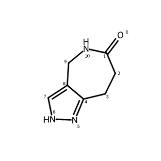 O=C1CCc2n[nH]cc2CN1